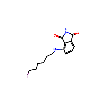 O=C1NC(=O)c2c(NCCCCCCI)cccc21